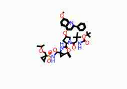 C=CC1CC1(NC(=O)C1CC(Oc2cc(-c3ccccc3)nc3cc(OC)ccc23)CN1C(=O)C(NC(=O)OC(C)(C)C)C(C)(C)C)C(=O)NS(=O)(=O)C1(COC(C)C)CC1